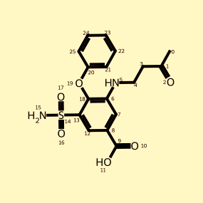 CC(=O)CCNc1cc(C(=O)O)cc(S(N)(=O)=O)c1Oc1ccccc1